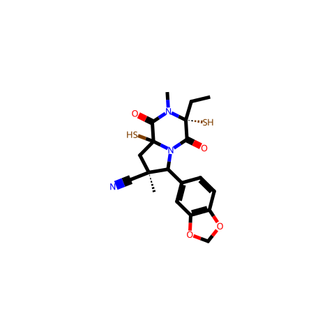 CC[C@@]1(S)C(=O)N2C(c3ccc4c(c3)OCO4)[C@@](C)(C#N)CC2(S)C(=O)N1C